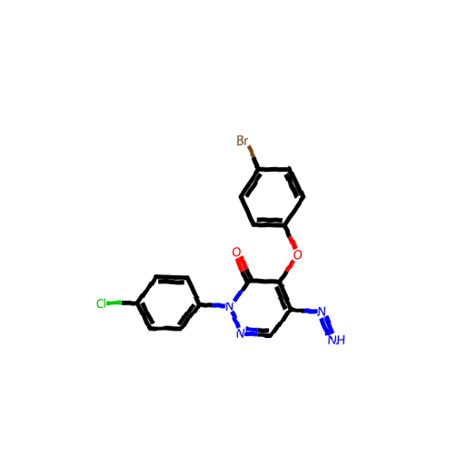 N=Nc1cnn(-c2ccc(Cl)cc2)c(=O)c1Oc1ccc(Br)cc1